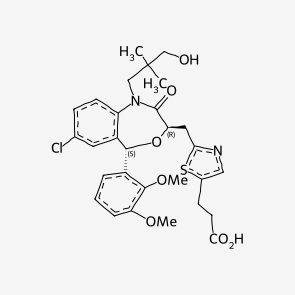 COc1cccc([C@H]2O[C@H](Cc3ncc(CCC(=O)O)s3)C(=O)N(CC(C)(C)CO)c3ccc(Cl)cc32)c1OC